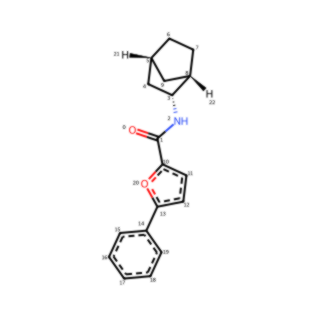 O=C(N[C@@H]1C[C@@H]2CC[C@H]1C2)c1ccc(-c2ccccc2)o1